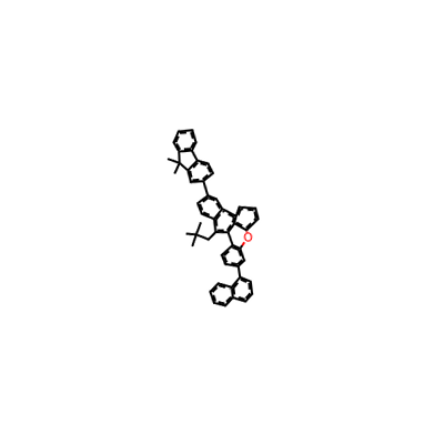 CC(C)(C)Cc1c2c3c(cccc3c3cc(-c4ccc5c(c4)C(C)(C)c4ccccc4-5)ccc13)Oc1cc(-c3cccc4ccccc34)ccc1-2